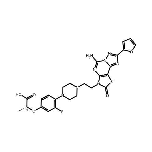 C[C@@H](Oc1ccc(N2CCN(CCn3c(=O)sc4c3nc(N)n3nc(-c5ccco5)nc43)CC2)c(F)c1)C(=O)O